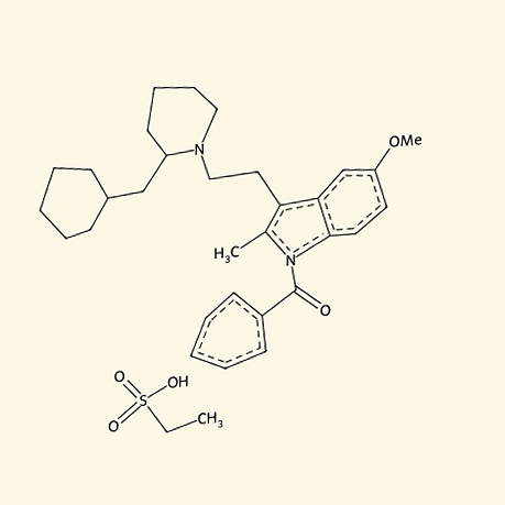 CCS(=O)(=O)O.COc1ccc2c(c1)c(CCN1CCCCC1CC1CCCCC1)c(C)n2C(=O)c1ccccc1